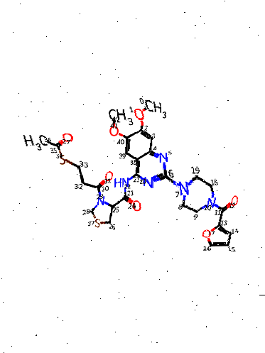 COc1cc2nc(N3CCN(C(=O)c4ccco4)CC3)nc(NC(=O)C3CSCN3C(=O)CCSC(C)=O)c2cc1OC